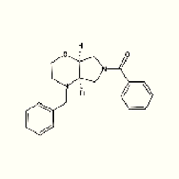 O=C(c1ccccc1)N1C[C@@H]2OCCN(Cc3ccccc3)[C@@H]2C1